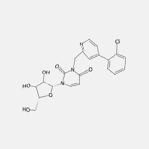 O=c1ccn([C@@H]2O[C@H](CO)C(O)C2O)c(=O)n1Cc1cc(-c2ccccc2Cl)ccn1